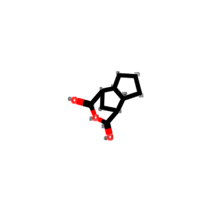 O=C1OC(=O)C2CC1C1CCCC21